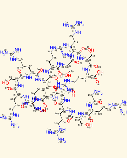 N=C(N)NCCC[C@H](NC(=O)[C@H](CO)NC(=O)[C@H](CCCNC(=N)N)NC(=O)[C@H](CO)NC(=O)[C@H](CCCNC(=N)N)NC(=O)[C@H](CO)NC(=O)[C@H](CCCNC(=N)N)NC(=O)[C@H](CO)NC(=O)[C@H](CCCNC(=N)N)NC(=O)[C@H](CO)NC(=O)[C@H](CCCNC(=N)N)NC(=O)[C@H](CO)NC(=O)[C@H](CCCNC(=N)N)NC(=O)[C@H](CO)NC(=O)[C@H](CCCNC(=N)N)NC(=O)CN)C(=O)O